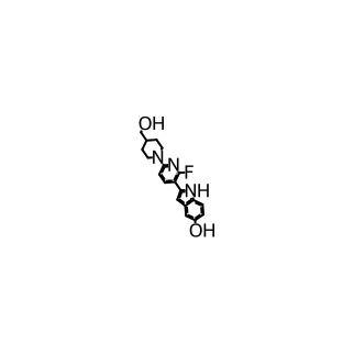 OCC1CCN(c2ccc(-c3cc4cc(O)ccc4[nH]3)c(F)n2)CC1